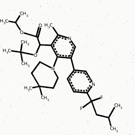 Cc1ncc(-c2ccc(C(F)(F)CC(C)C)nc2)c(N2CCC(C)(C)CC2)c1C(OC(C)(C)C)C(=O)OC(C)C